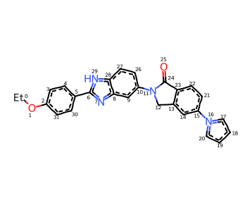 CCOc1ccc(-c2nc3cc(N4Cc5cc(-n6cccc6)ccc5C4=O)ccc3[nH]2)cc1